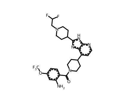 Nc1cc(OC(F)(F)F)ccc1C(=O)N1CCC(c2ccnc3[nH]c(C4CCN(CC(F)F)CC4)nc23)CC1